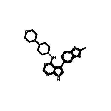 Cc1nc2ccc(-c3c[nH]c4ncnc(N[C@H]5CC[C@H](N6CCOCC6)CC5)c34)cc2s1